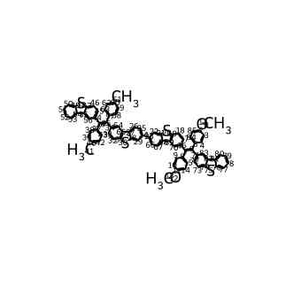 COc1ccc(/C(=C(/c2ccc(OC)cc2)c2ccc3sc4cc(-c5ccc6c(c5)sc5ccc(/C(=C(\c7ccc(C)cc7)c7ccc8sc9ccccc9c8c7)c7ccc(C)cc7)cc56)ccc4c3c2)c2ccc3sc4ccccc4c3c2)cc1